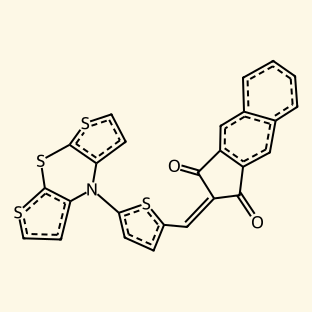 O=C1C(=Cc2ccc(N3c4ccsc4Sc4sccc43)s2)C(=O)c2cc3ccccc3cc21